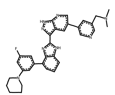 CN(C)Cc1cncc(-c2cnc3[nH]nc(-c4nc5c(-c6cc(F)cc(N7CCCCC7)c6)cccc5[nH]4)c3c2)c1